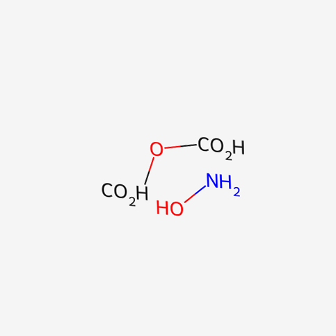 NO.O=C(O)OC(=O)O